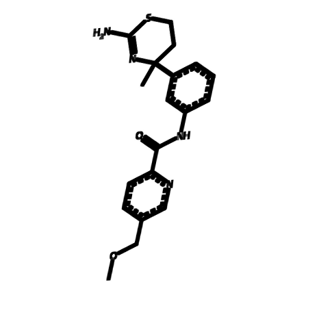 COCc1ccc(C(=O)Nc2cccc(C3(C)CCSC(N)=N3)c2)nc1